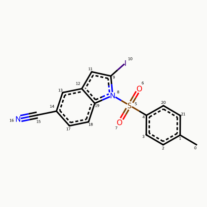 Cc1ccc(S(=O)(=O)n2c(I)cc3cc(C#N)ccc32)cc1